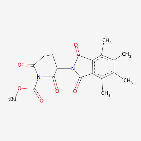 Cc1c(C)c(C)c2c(c1C)C(=O)N(C1CCC(=O)N(C(=O)OC(C)(C)C)C1=O)C2=O